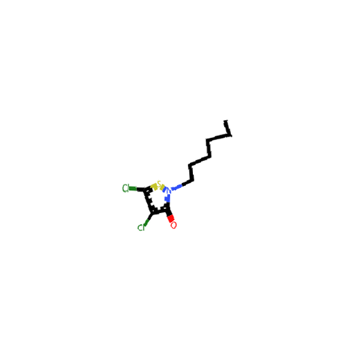 CCCCCCn1sc(Cl)c(Cl)c1=O